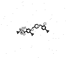 O=C(NS(=O)(=O)C1CC1)c1cc(C2CC2)c(OCC2CCN(Cc3ccc(C4CC4)cc3Cl)CC2)cc1F